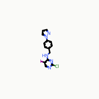 Clc1ncc(I)c(NCc2ccc(-n3cccn3)cc2)n1